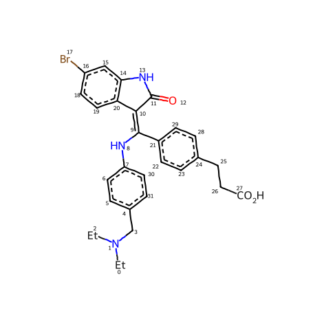 CCN(CC)Cc1ccc(NC(=C2C(=O)Nc3cc(Br)ccc32)c2ccc(CCC(=O)O)cc2)cc1